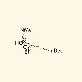 CCCCCCCCCCCCCCCCCCC(COP(O)OCCCNC)OC(=O)CC